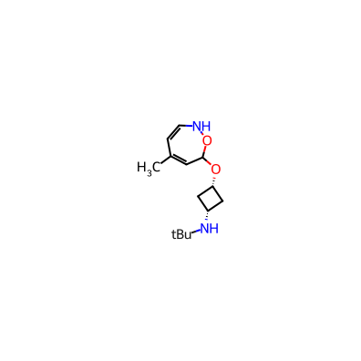 CC1=CC(O[C@H]2C[C@@H](NC(C)(C)C)C2)ONC=C1